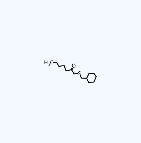 CCCCCC(=O)CSCC1CCCCC1